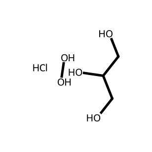 Cl.OCC(O)CO.OO